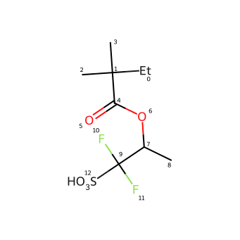 CCC(C)(C)C(=O)OC(C)C(F)(F)S(=O)(=O)O